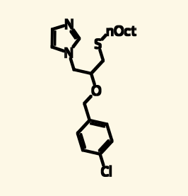 CCCCCCCCSCC(Cn1ccnc1)OCc1ccc(Cl)cc1